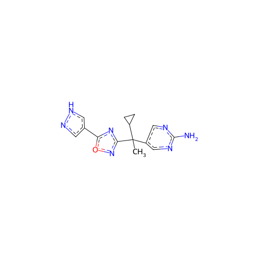 CC(c1cnc(N)nc1)(c1noc(-c2cn[nH]c2)n1)C1CC1